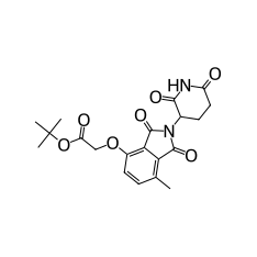 Cc1ccc(OCC(=O)OC(C)(C)C)c2c1C(=O)N(C1CCC(=O)NC1=O)C2=O